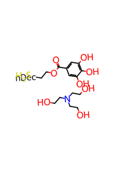 CCCCCCCCCCCCOC(=O)c1cc(O)c(O)c(O)c1.OCCN(CCO)CCO.S